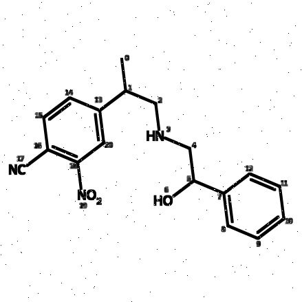 CC(CNCC(O)c1ccccc1)c1ccc(C#N)c([N+](=O)[O-])c1